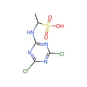 CC(Nc1nc(Cl)nc(Cl)n1)S(=O)(=O)O